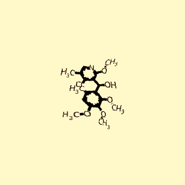 COc1cc(C)c(C(O)c2c(OC)ncc(C)c2Cl)c(OC)c1OC